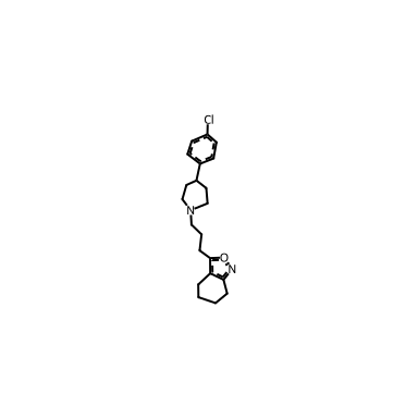 Clc1ccc(C2CCN(CCCc3onc4c3CCCC4)CC2)cc1